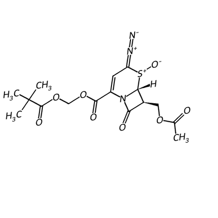 CC(=O)OC[C@H]1C(=O)N2C(C(=O)OCOC(=O)C(C)(C)C)=CC(=[N+]=[N-])[S+]([O-])[C@H]12